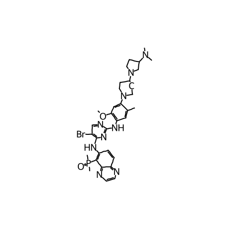 COc1cc(N2CCC(N3CCC(N(C)C)C3)CC2)c(C)cc1Nc1ncc(Br)c(Nc2ccc3nccnc3c2P(C)(C)=O)n1